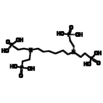 O=P(O)(O)CCN(CCCCCCN(CCP(=O)(O)O)CCP(=O)(O)O)CCP(=O)(O)O